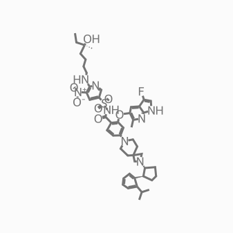 CC[C@@](C)(O)CCCCNc1ncc(S(=O)(=O)NC(=O)c2ccc(N3CCC4(CC3)CN([C@H]3CCC[C@H]3c3ccccc3C(C)C)C4)cc2Oc2cc3c(F)c[nH]c3nc2C)cc1[N+](=O)[O-]